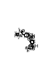 CN(C(=O)[C@@H](N)C1CCC(NS(=O)(=O)c2ccc(NS(=O)(=O)CC(F)(F)F)cc2)CC1)C1CCC1.Cl